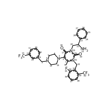 Cc1c(N2CCN(Cc3cccc(C(F)(F)F)c3)CC2)c(=O)n(CC(N)c2ccccc2)c(=O)n1Cc1c(F)cccc1C(F)(F)F